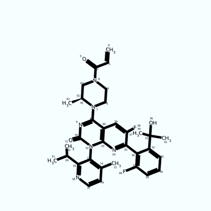 C=CC(=O)N1CCN(c2nc(=O)n(-c3c(C)ccnc3C(C)C)c3nc(-c4c(F)cccc4C(C)(C)O)c(F)cc23)[C@@H](C)C1